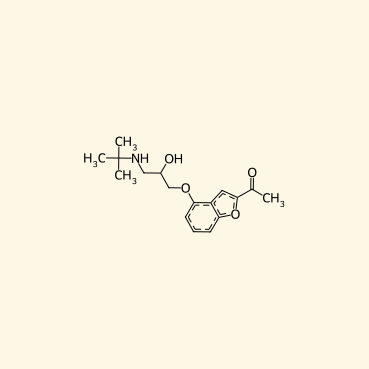 CC(=O)c1cc2c(OCC(O)CNC(C)(C)C)cccc2o1